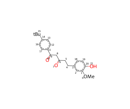 COc1cc(CCC(=O)CC(=O)c2ccc(C(C)(C)C)cc2)ccc1O